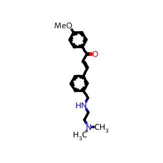 COc1ccc(C(=O)C=Cc2cccc(CNCCN(C)C)c2)cc1